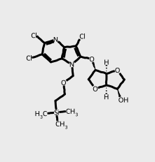 C[Si](C)(C)CCOCn1c(O[C@@H]2CO[C@H]3[C@@H]2OC[C@H]3O)c(Cl)c2nc(Cl)c(Cl)cc21